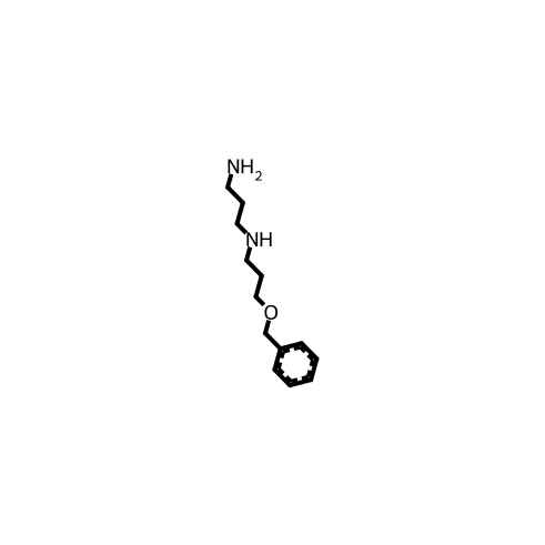 NCCCNCCCOCc1ccccc1